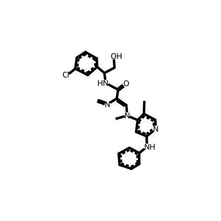 C=N/C(=C\N(C)c1cc(Nc2ccccc2)ncc1C)C(=O)NC(CO)c1cccc(Cl)c1